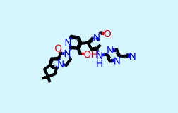 C/C(=C\C(=C/N(C)C=O)c1ccnc(N2CCn3c(cc4c3CC(C)(C)C4)C2=O)c1CO)Nc1cnc(C#N)cn1